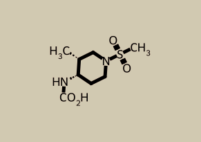 C[C@@H]1CN(S(C)(=O)=O)CC[C@@H]1NC(=O)O